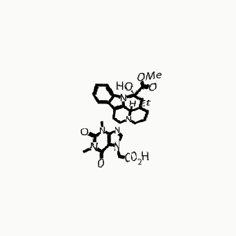 CC[C@]12CCCN3CCc4c(n(c5ccccc45)[C@@](O)(C(=O)OC)C1)[C@@H]32.Cn1c(=O)c2c(ncn2CC(=O)O)n(C)c1=O